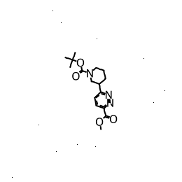 COC(=O)c1ccc(C2CCCN(C(=O)OC(C)(C)C)C2)nn1